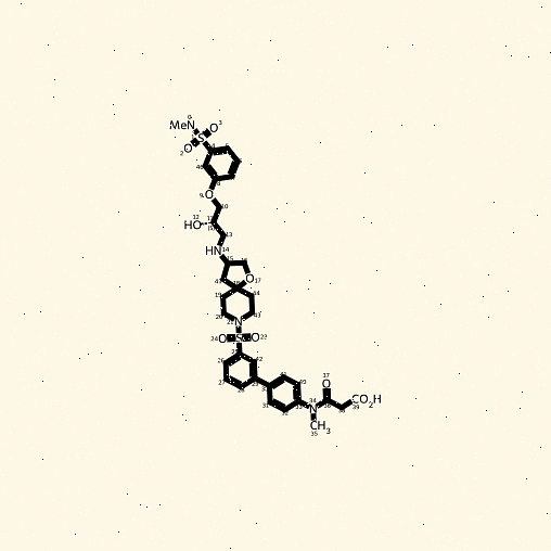 CNS(=O)(=O)c1cccc(OC[C@@H](O)CNC2COC3(CCN(S(=O)(=O)c4cccc(-c5ccc(N(C)C(=O)CC(=O)O)cc5)c4)CC3)C2)c1